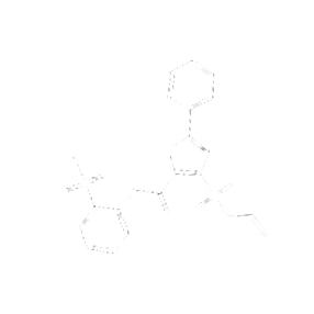 C=CCS(=O)(=O)c1cc(-c2ccccn2)sc1C(=O)Nc1ccccc1S(N)(=O)=O